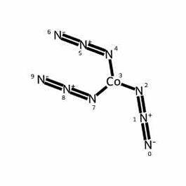 [N-]=[N+]=[N][Co]([N]=[N+]=[N-])[N]=[N+]=[N-]